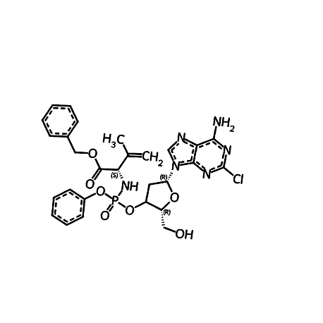 C=C(C)[C@H](NP(=O)(Oc1ccccc1)OC1C[C@H](n2cnc3c(N)nc(Cl)nc32)O[C@@H]1CO)C(=O)OCc1ccccc1